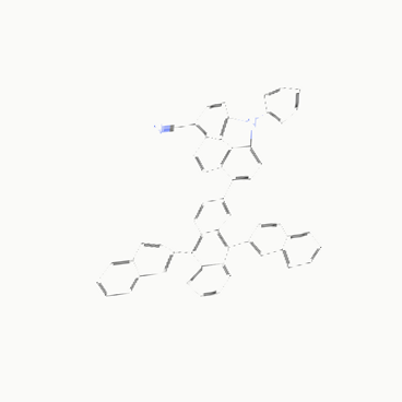 N#Cc1ccc2c3c1ccc1c(-c4ccc5c(-c6ccc7ccccc7c6)c6ccccc6c(-c6ccc7ccccc7c6)c5c4)ccc(c13)n2-c1ccccc1